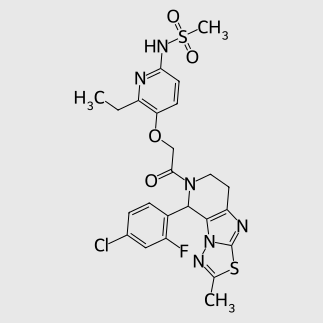 CCc1nc(NS(C)(=O)=O)ccc1OCC(=O)N1CCc2nc3sc(C)nn3c2C1c1ccc(Cl)cc1F